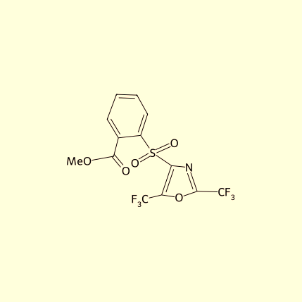 COC(=O)c1ccccc1S(=O)(=O)c1nc(C(F)(F)F)oc1C(F)(F)F